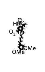 COc1ccc(SCCCCOc2cc3c(cc2[N+](=O)[O-])NC(=O)OC3(C)C)cc1OC